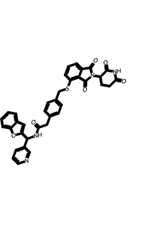 O=C1CCC(N2C(=O)c3cccc(SCc4ccc(CC(=O)NC(c5cccnc5)c5cc6ccccc6o5)cc4)c3C2=O)C(=O)N1